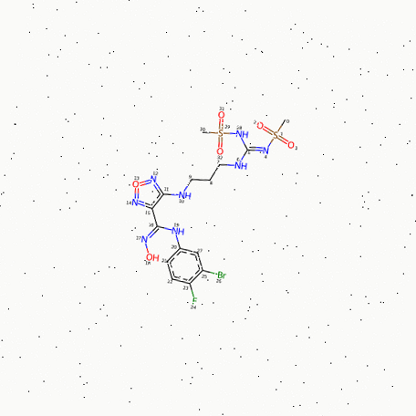 CS(=O)(=O)/N=C(/NCCCNc1nonc1/C(=N/O)Nc1ccc(F)c(Br)c1)NS(C)(=O)=O